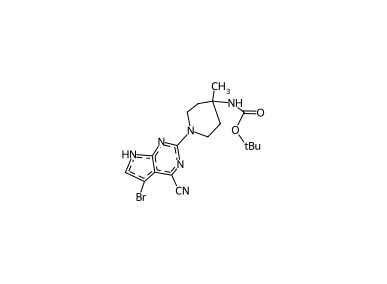 CC1(NC(=O)OC(C)(C)C)CCN(c2nc(C#N)c3c(Br)c[nH]c3n2)CC1